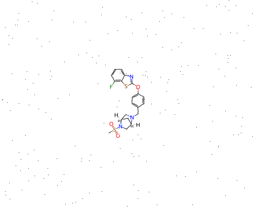 CS(=O)(=O)N1C[C@H]2C[C@@H]1CN2Cc1ccc(Oc2nc3cccc(F)c3s2)cc1